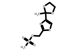 CC1(c2csc(COS(C)(=O)=O)n2)OCCO1